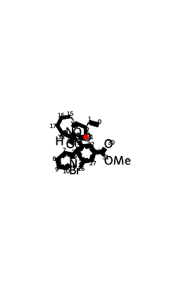 C=C[C@@H]1CN(Cc2ccccn2)C2O[C@]13CCC[C@@H]2N3S(=O)(=O)c1cc(Br)cc(C(=O)OC)c1